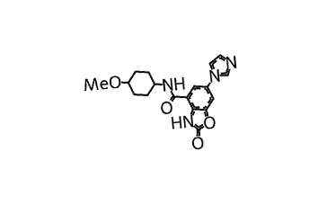 COC1CCC(NC(=O)c2cc(-n3ccnc3)cc3oc(=O)[nH]c23)CC1